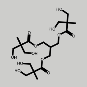 CC(CO)(CO)C(=O)OCC(COC(=O)C(C)(CO)CO)COC(=O)C(C)(CO)CO